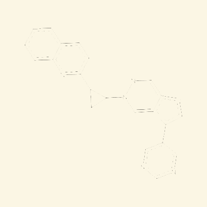 C1=c2scc(-c3cncnc3)c2=CN(C2CC2c2ccc3ccccc3n2)N1